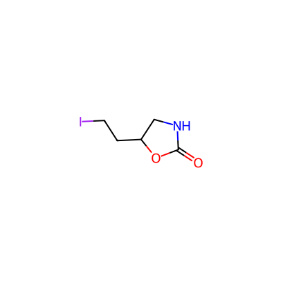 O=C1NCC(CCI)O1